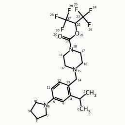 CC(C)c1cc(N2CCCC2)ccc1CN1CCN(C(=O)OC(C(F)(F)F)C(F)(F)F)CC1